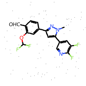 Cn1nc(-c2ccc(C=O)c(OC(F)F)c2)cc1-c1cnc(F)c(F)c1